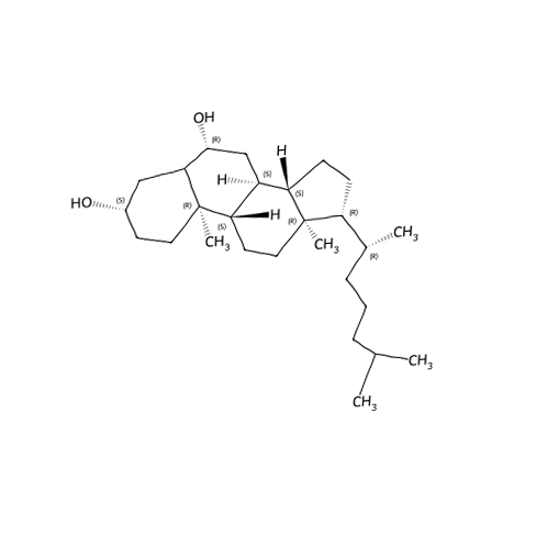 CC(C)CCC[C@@H](C)[C@H]1CC[C@H]2[C@@H]3C[C@@H](O)C4C[C@@H](O)CC[C@]4(C)[C@H]3CC[C@]12C